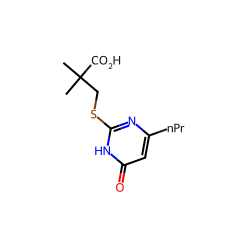 CCCc1cc(=O)[nH]c(SCC(C)(C)C(=O)O)n1